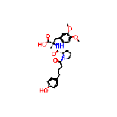 COc1ccc(C[C@](C)(NC(=O)[C@@H]2CCCN2C(=O)CCCc2ccc(O)cc2)C(=O)O)cc1OC